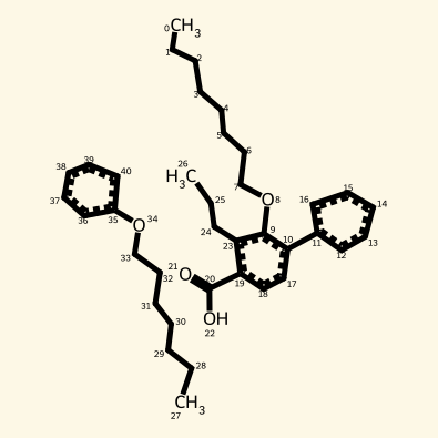 CCCCCCCCOc1c(-c2ccccc2)ccc(C(=O)O)c1CCC.CCCCCCCOc1ccccc1